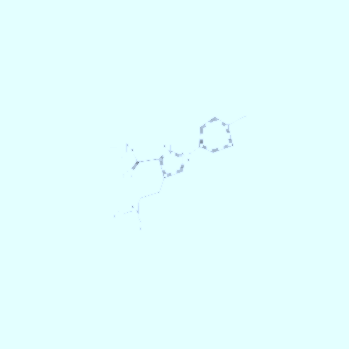 CN(C)CCc1cn(-c2ccc(F)cc2)nc1C(N)=O